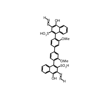 [H]/N=N/c1c(S(=O)(=O)O)c(-c2ccc(-c3ccc(-c4c(S(=O)(=O)O)c(/N=N/[H])c(O)c5ccccc45)c(OC)c3)cc2OC)c2ccccc2c1O